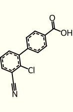 N#Cc1cccc(-c2ccc(C(=O)O)cc2)c1Cl